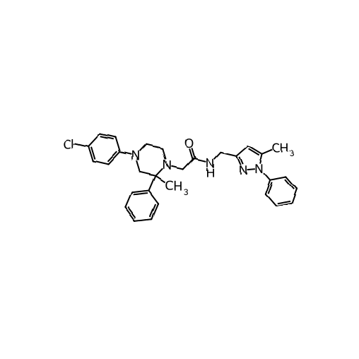 Cc1cc(CNC(=O)CN2CCN(c3ccc(Cl)cc3)CC2(C)c2ccccc2)nn1-c1ccccc1